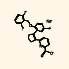 O=C([O-])c1cccc(C2=C(c3cc(F)ccc3OCc3c(F)cccc3F)CCC2)n1.[Na+]